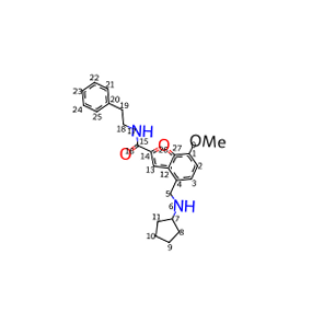 COc1ccc(CNC2CCCC2)c2cc(C(=O)NCCc3ccccc3)oc12